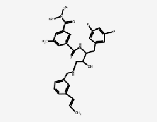 C/C=C/c1cccc(CNCC(O)C(Cc2cc(F)cc(F)c2)NC(=O)c2cc(C)cc(C(=O)N(CCC)CCC)c2)c1